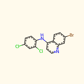 Clc1ccc(Nc2ccnc3cc(Br)ccc23)c(Cl)c1